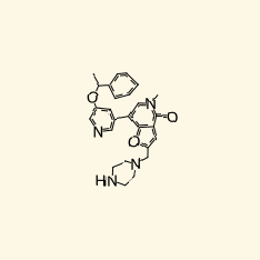 CC(Oc1cncc(-c2cn(C)c(=O)c3cc(CN4CCNCC4)oc23)c1)c1ccccc1